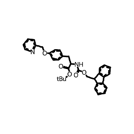 CC(C)(C)OC(=O)C(Cc1ccc(OCc2ccccn2)cc1)NC(=O)OCC1c2ccccc2-c2ccccc21